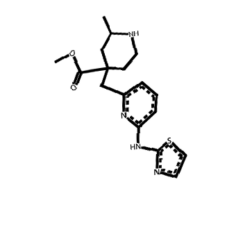 COC(=O)C1(Cc2cccc(Nc3nccs3)n2)CCNC(C)C1